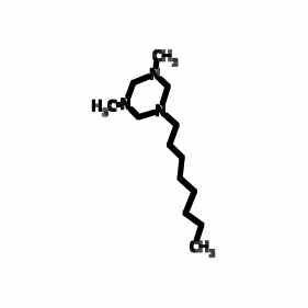 CCCCCCCCN1CN(C)CN(C)C1